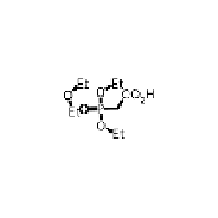 CCOCC.CCOP(=O)(CC(=O)O)OCC